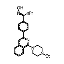 CCC/C(=N\O)c1ccc(-c2cc3ccccc3c(N3CCN(CC)CC3)n2)cc1